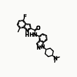 Cc1ccc(F)c2cc(C(=O)Nc3cccc4c3cnn4C3CCC(N(C)C)CC3)[nH]c12